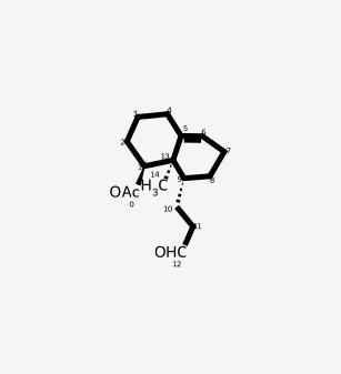 CC(=O)O[C@H]1CCCC2=CCC[C@H](CCC=O)[C@]21C